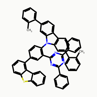 Cc1ccccc1-c1ccc2c3ccc(-c4ccccc4C)cc3n(-c3ccc(-c4cccc5sc6ccccc6c45)cc3-c3nc(-c4ccccc4)nc(-c4ccccc4)n3)c2c1